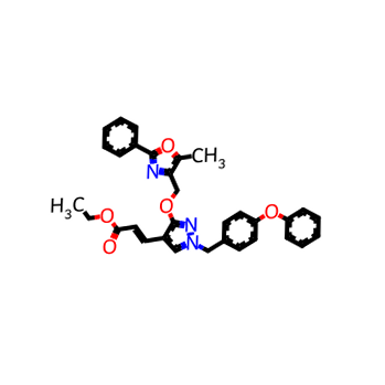 CCOC(=O)/C=C/c1cn(Cc2ccc(Oc3ccccc3)cc2)nc1OCc1nc(-c2ccccc2)oc1C